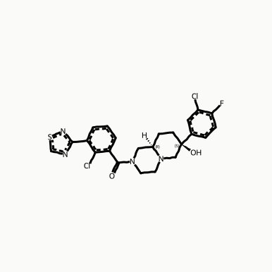 O=C(c1cccc(-c2ncsn2)c1Cl)N1CCN2C[C@@](O)(c3ccc(F)c(Cl)c3)CC[C@@H]2C1